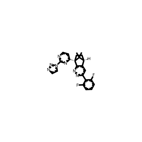 CC1(C)[C@H]2CC[C@]1(c1ccnc(-n3ccnn3)n1)c1nnc(-c3c(F)cccc3F)cc12